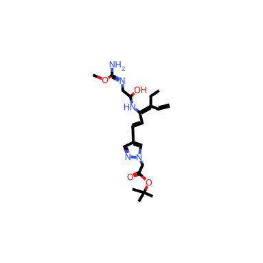 C=C/C(CC)=C(\C=C\c1cnn(CC(=O)OC(C)(C)C)c1)NC(O)C/N=C(/N)OC